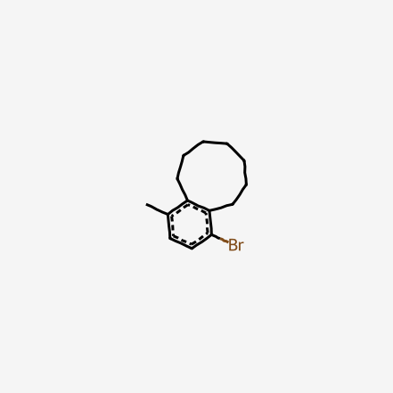 Cc1ccc(Br)c2c1CCCCCCC2